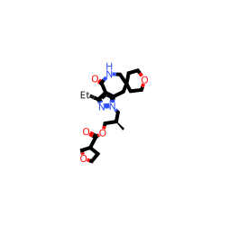 CCc1nn(C[C@@H](C)COC(=O)C2CCOC2)c2c1C(=O)NCC1(CCOCC1)C2